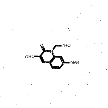 COc1ccc2cc(C=O)c(=O)n(CC=O)c2c1